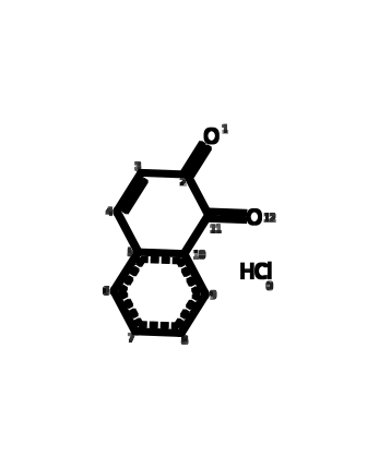 Cl.O=C1C=Cc2ccccc2C1=O